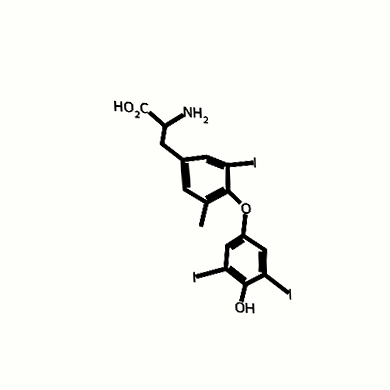 Cc1cc(CC(N)C(=O)O)cc(I)c1Oc1cc(I)c(O)c(I)c1